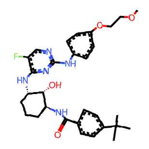 COCCOc1ccc(Nc2ncc(F)c(N[C@H]3CCC[C@H](NC(=O)c4ccc(C(C)(C)C)cc4)[C@H]3O)n2)cc1